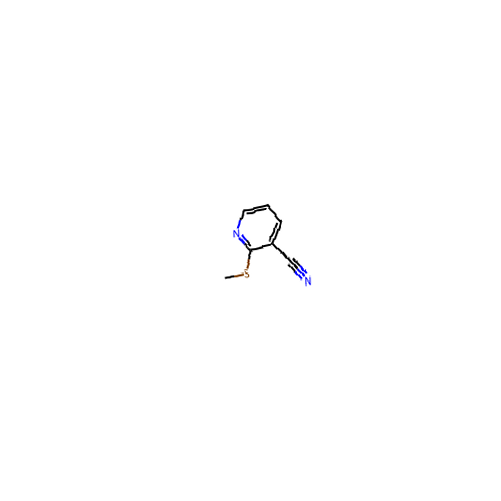 CSc1ncccc1C#N